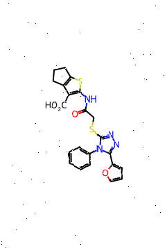 O=C(CSc1nnc(-c2ccco2)n1-c1ccccc1)Nc1sc2c(c1C(=O)O)CCC2